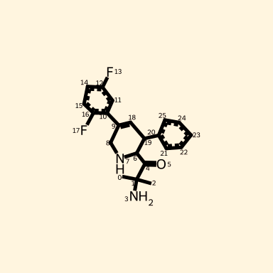 CC(C)(N)C(=O)C1NCC(c2cc(F)ccc2F)=CC1c1ccccc1